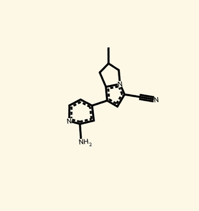 CC1Cc2c(-c3ccnc(N)c3)cc(C#N)n2C1